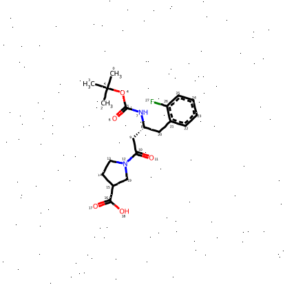 CC(C)(C)OC(=O)N[C@@H](CC(=O)N1CCC(C(=O)O)C1)Cc1ccccc1F